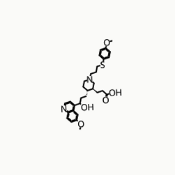 COc1ccc(SCCCN2CC[C@@H](CC[C@@H](O)c3ccnc4ccc(OC)cc34)[C@H](CCC(=O)O)C2)cc1